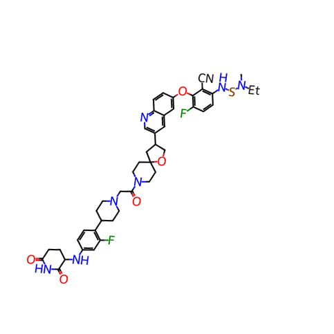 CCN(C)SNc1ccc(F)c(Oc2ccc3ncc(C4COC5(CCN(C(=O)CN6CCC(c7ccc(NC8CCC(=O)NC8=O)cc7F)CC6)CC5)C4)cc3c2)c1C#N